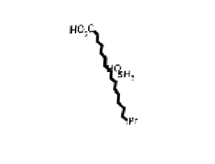 CC(C)CCCCCCCCCCCCCCC(=O)O.O[SiH3]